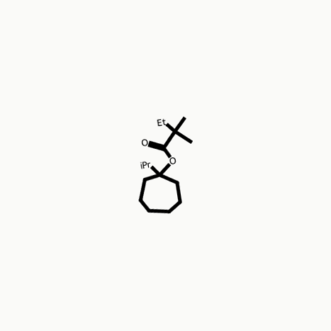 CCC(C)(C)C(=O)OC1(C(C)C)CCCCCC1